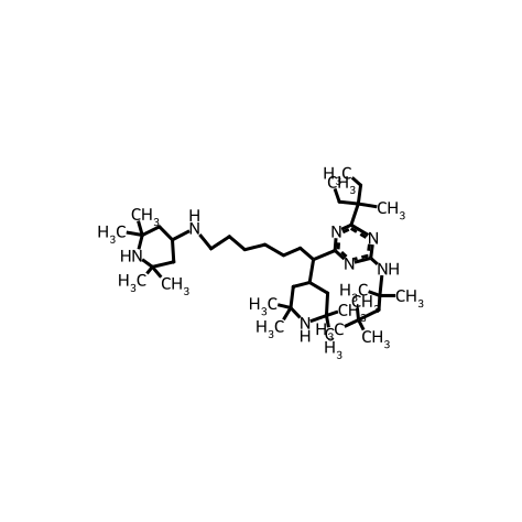 CCC(C)(CC)c1nc(NC(C)(C)CC(C)(C)C)nc(C(CCCCCCNC2CC(C)(C)NC(C)(C)C2)C2CC(C)(C)NC(C)(C)C2)n1